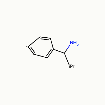 CC(C)C(N)c1cc[c]cc1